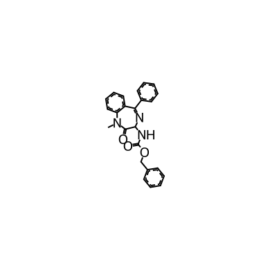 CN1C(=O)C(NC(=O)OCc2ccccc2)N=C(c2ccccc2)c2ccccc21